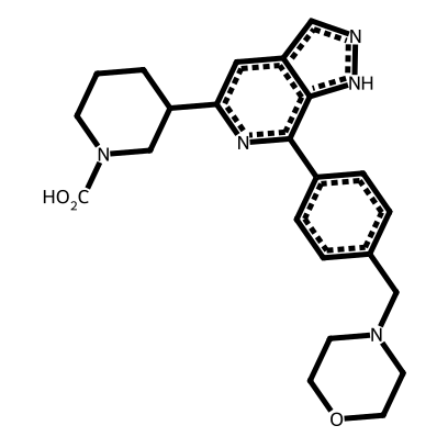 O=C(O)N1CCCC(c2cc3cn[nH]c3c(-c3ccc(CN4CCOCC4)cc3)n2)C1